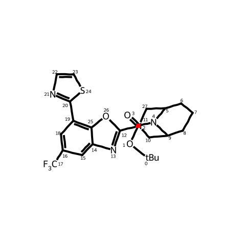 CC(C)(C)OC(=O)N1C2CCCC1CN(c1nc3cc(C(F)(F)F)cc(-c4nccs4)c3o1)C2